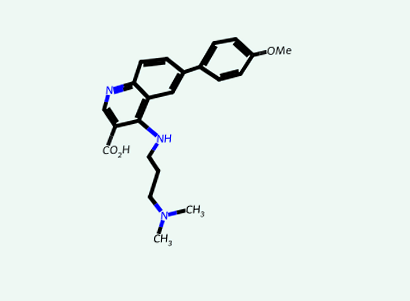 COc1ccc(-c2ccc3ncc(C(=O)O)c(NCCCN(C)C)c3c2)cc1